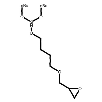 CCCCO[SiH](OCCCC)OCCCCOCC1CO1